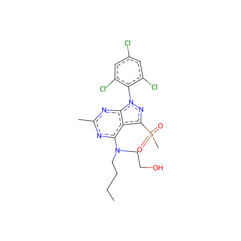 CCCCN(CCO)c1nc(C)nc2c1c(S(C)(=O)=O)nn2-c1c(Cl)cc(Cl)cc1Cl